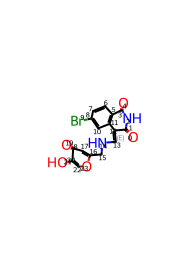 O=C1NC(=O)c2ccc(Br)cc2/C1=C\NCc1cc(=O)c(O)co1